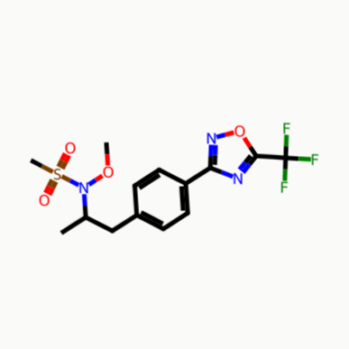 CON(C(C)Cc1ccc(-c2noc(C(F)(F)F)n2)cc1)S(C)(=O)=O